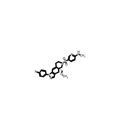 CNc1ccc(S(=O)(=O)N2CCC3=Cc4c(cnn4-c4ccc(F)cc4)C[C@]3(COC)C2)cn1